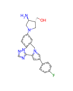 N[C@@H]1CN(c2ccc3c(c2)Cn2cc(-c4ccc(F)cc4)cc2-c2ncnn2-3)C[C@H]1CO